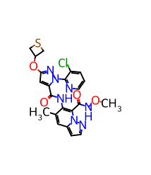 CONC(=O)c1c(NC(=O)c2cc(OC3CSC3)nn2-c2ncccc2Cl)c(C)cc2ccnn12